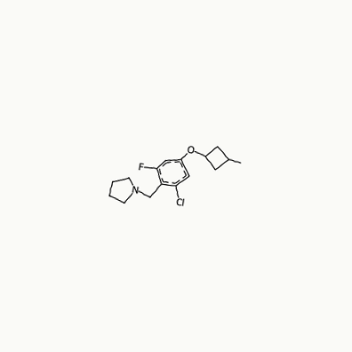 CC1CC(Oc2cc(F)c(CN3CCCC3)c(Cl)c2)C1